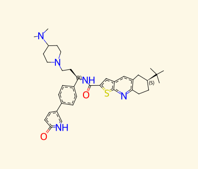 CN(C)C1CCN(CC[C@@H](NC(=O)c2cc3cc4c(nc3s2)CC[C@H](C(C)(C)C)C4)c2ccc(-c3ccc(=O)[nH]c3)cc2)CC1